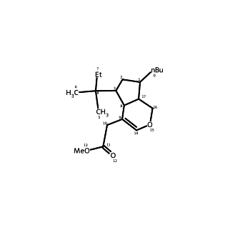 CCCCC1CC(C(C)(C)CC)C2C(CC(=O)OC)=COCC12